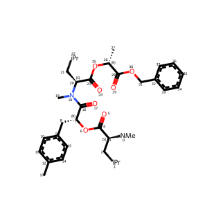 CN[C@@H](CC(C)C)C(=O)O[C@H](Cc1ccc(C)cc1)C(=O)N(C)[C@@H](CC(C)C)C(=O)O[C@H](C)C(=O)OCc1ccccc1